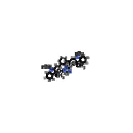 CCCCN1/C(=C/C=C2\CCCC(/C=C/C3=[N+](CCCC)c4ccccc4C3(C)C)=C2n2cncn2)C(C)(C)c2ccccc21